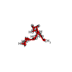 C#C[C@H]1CC(F)(F)CN1C(=O)CNC(=O)c1ccnc2ccc(OCCCCN3CCN(C(=O)C(O)CSCCNC(=O)C(CCOCCNC(=O)CCCc4ccc(C)cc4)NC(=O)CN4CCN(COC=O)CCN(COC=O)CCN(CC(=O)O)CC4)CC3)cc12